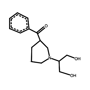 O=C(c1ccccc1)C1C[CH]CN(C(CO)CO)C1